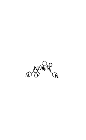 CN1CCC(CCNC(=O)c2cccc(CNc3ncc(-c4ccncc4)c4c3CCO4)c2)CC1